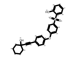 O=S(=O)(c1ccc(Oc2ccc(C#CC3(O)CCCCC3)cc2)cc1)c1ccccc1O